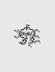 CO[Si](CC[Si](C)(C)O[Si](C)(C)CCCC(O)(F)CCC[Si](C)(C)O[Si](C)(C)CC[Si](OC)(OC)OC)(OC)OC